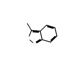 Cc1snc2ccccc12